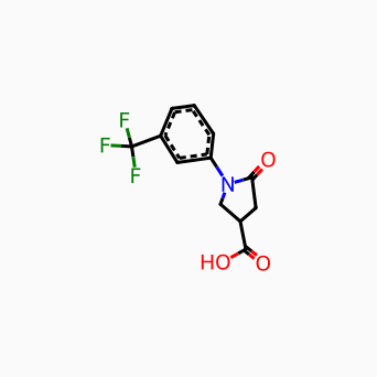 O=C(O)C1CC(=O)N(c2cccc(C(F)(F)F)c2)C1